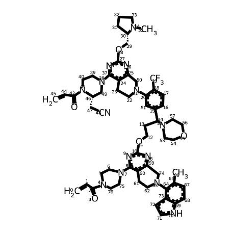 C=CC(=O)N1CCN(c2nc(OCCC(c3ccc(C(F)(F)F)c(N4CCc5c(nc(OC[C@@H]6CCCN6C)nc5N5CCN(C(=O)C=C)[C@@H](CC#N)C5)C4)c3)N3CCOCC3)nc3c2CCN(c2c(C)ccc4[nH]ccc24)C3)CC1